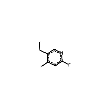 [CH2]Cc1cnc(F)cc1I